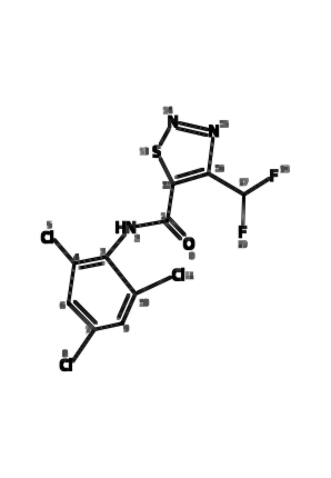 O=C(Nc1c(Cl)cc(Cl)cc1Cl)c1snnc1C(F)F